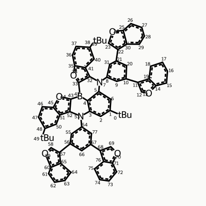 CC(C)(C)c1cc2c3c(c1)N(c1cc(-c4coc5ccccc45)cc(-c4coc5ccccc45)c1)c1c(oc4ccc(C(C)(C)C)cc14)B3c1oc3ccc(C(C)(C)C)cc3c1N2c1cc(-c2coc3ccccc23)cc(-c2coc3ccccc23)c1